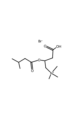 CC(C)CC(=O)OC(CC(=O)O)C[N+](C)(C)C.[Br-]